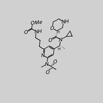 COC(=O)NCCCc1cc([C@@H](C)N(C(=O)[C@H]2CNCCO2)C2CC2)cc(N(C)S(C)(=O)=O)n1